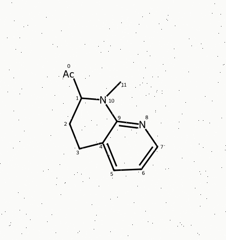 CC(=O)C1CCc2cccnc2N1C